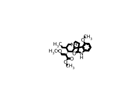 CCC1CN2CCC3(C(=O)Nc4cccc(OC)c43)[C@@H]2C[C@@H]1/C(=C\OC)C(=O)OC